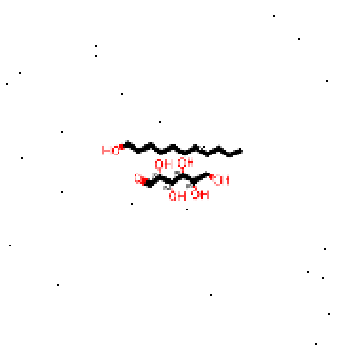 CCCCCCCCCCCO.O=C[C@H](O)[C@@H](O)[C@H](O)[C@H](O)CO